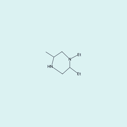 CCC1CNC(C)CN1CC